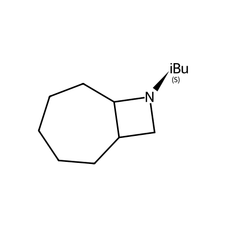 CC[C@H](C)N1CC2CCCCCC21